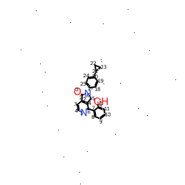 O=C1c2ccnc(-c3ccccc3O)c2CN1c1ccc(C2CC2)cc1